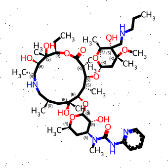 CCCNC[C@]1(O)[C@H](C)O[C@@H](O[C@H]2[C@H](C)[C@@H](O[C@@H]3O[C@H](C)C[C@H](N(C)C(=O)Nc4ccccn4)[C@H]3O)[C@](C)(O)C[C@@H](C)CN[C@H](C)[C@@H](O)[C@](C)(O)[C@@H](CC)OC(=O)[C@@H]2C)C[C@@]1(C)OC